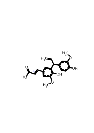 C=CC(c1ccc(O)c(OC)c1)c1cc(/C=C/C(=O)O)cc(OC)c1O